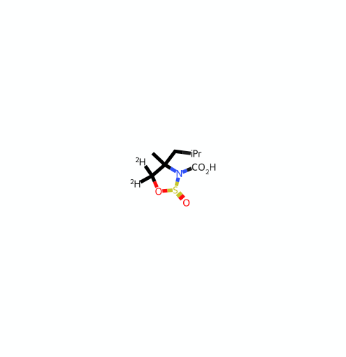 [2H]C1([2H])OS(=O)N(C(=O)O)C1(C)CC(C)C